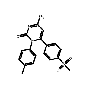 Cc1ccc(-n2c(-c3ccc(S(C)(=O)=O)cc3)cc(C(F)(F)F)nc2=O)cc1